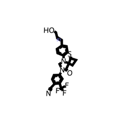 N#Cc1ccc(N2CN(c3ccc(/C=C/CO)cc3)C3(CCC3=S)C2=O)cc1C(F)(F)F